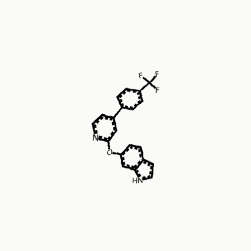 FC(F)(F)c1ccc(-c2ccnc(Oc3ccc4cc[nH]c4c3)c2)cc1